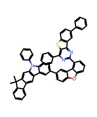 CC1(C)c2ccccc2-c2cc3c4cc(-c5ccc6oc7cccc(-c8nc(-c9ccccc9)c9sc%10ccc(-c%11ccccc%11)cc%10c9n8)c7c6c5)ccc4n(-c4ccccc4)c3cc21